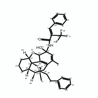 CC1=CC(O)(NC(=O)C(=Cc2ccccc2)C(F)(F)F)C2O[C@H]3CCC[C@H]4[C@H]5CC1=C2[C@@]34CC[N+]5(C)CCc1ccccc1